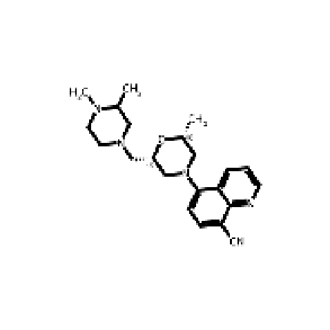 CC1CN(C[C@H]2CN(c3ccc(C#N)c4ncccc34)C[C@@H](C)O2)CCN1C